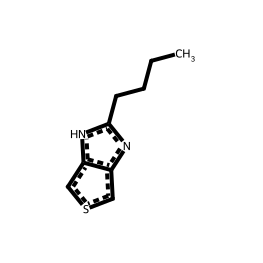 CCCCc1nc2cscc2[nH]1